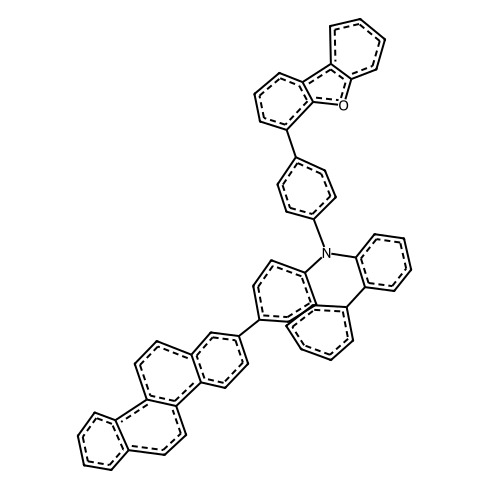 c1ccc(-c2ccccc2N(c2ccc(-c3ccc4c(ccc5c6ccccc6ccc45)c3)cc2)c2ccc(-c3cccc4c3oc3ccccc34)cc2)cc1